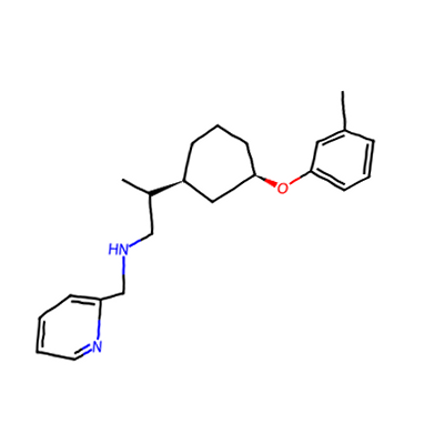 Cc1cccc(O[C@@H]2CCC[C@H](C(C)CNCc3ccccn3)C2)c1